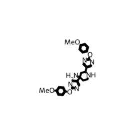 COc1ccc(Oc2ncc(C3CC(N)(c4cnc(Oc5ccc(OC)cc5)nc4)CCN3)cn2)cc1